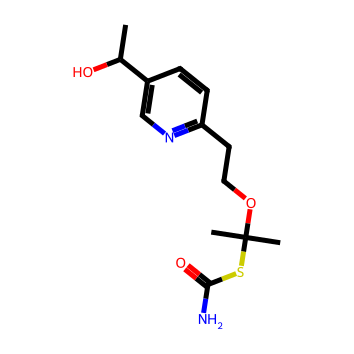 CC(O)c1ccc(CCOC(C)(C)SC(N)=O)nc1